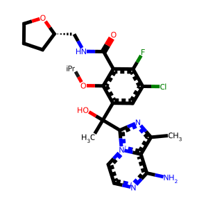 Cc1nc(C(C)(O)c2cc(Cl)c(F)c(C(=O)NC[C@@H]3CCCO3)c2OC(C)C)n2ccnc(N)c12